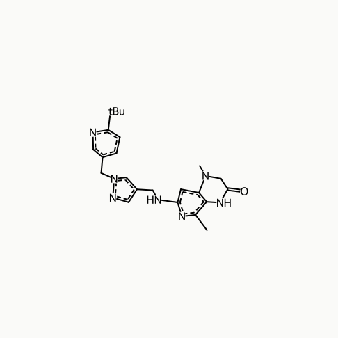 Cc1nc(NCc2cnn(Cc3ccc(C(C)(C)C)nc3)c2)cc2c1NC(=O)CN2C